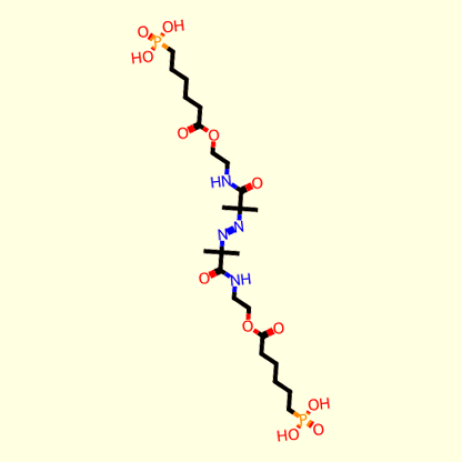 CC(C)(/N=N/C(C)(C)C(=O)NCCOC(=O)CCCCCP(=O)(O)O)C(=O)NCCOC(=O)CCCCCP(=O)(O)O